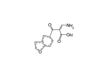 N/C=C(\C(=O)O)C(=O)c1ccc2occc2c1